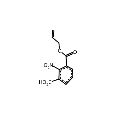 C=CCOC(=O)c1cccc(C(=O)O)c1[N+](=O)[O-]